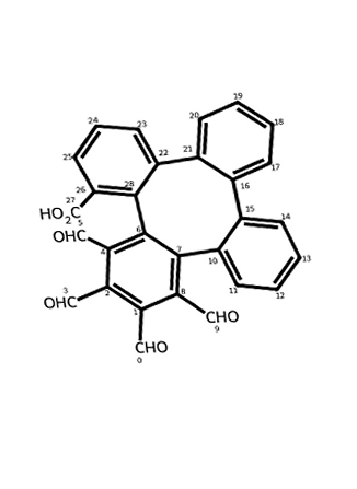 O=Cc1c(C=O)c(C=O)c2c(c1C=O)-c1ccccc1-c1ccccc1-c1cccc(C(=O)O)c1-2